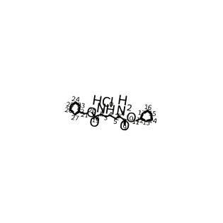 Cl.NC(CCC[C@H](N)C(=O)OCc1ccccc1)C(=O)OCc1ccccc1